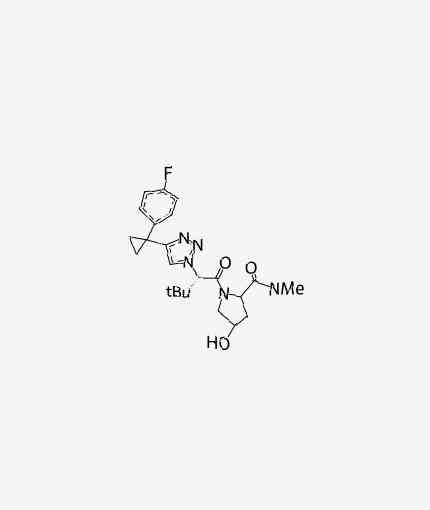 CNC(=O)C1CC(O)CN1C(=O)[C@@H](n1cc(C2(c3ccc(F)cc3)CC2)nn1)C(C)(C)C